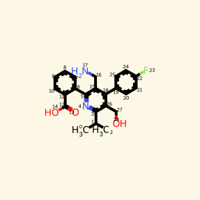 CC(C)c1nc(-c2ccccc2C(=O)O)c(CN)c(-c2ccc(F)cc2)c1CO